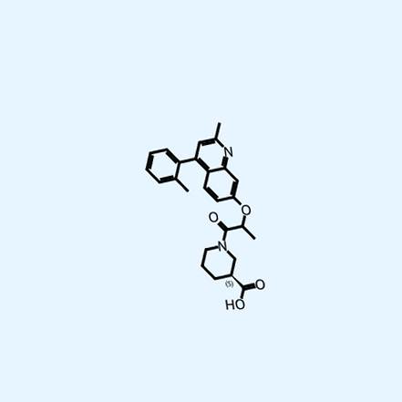 Cc1cc(-c2ccccc2C)c2ccc(OC(C)C(=O)N3CCC[C@H](C(=O)O)C3)cc2n1